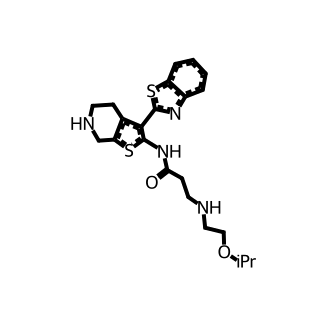 CC(C)OCCNCCC(=O)Nc1sc2c(c1-c1nc3ccccc3s1)CCNC2